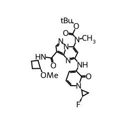 CO[C@H]1CC[C@@H]1NC(=O)c1cnn2c(N(C)C(=O)OC(C)(C)C)cc(Nc3cccn([C@@H]4C[C@H]4F)c3=O)nc12